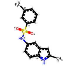 Cc1cc2cc(NS(=O)(=O)c3cccc(C(F)(F)F)c3)ccc2[nH]1